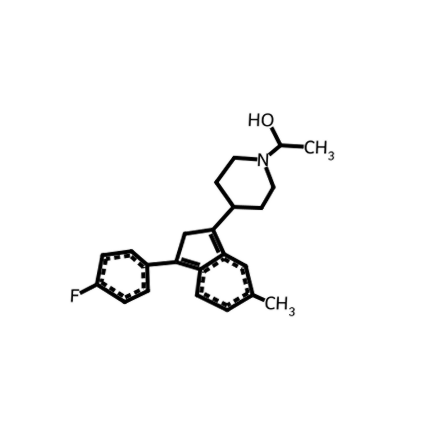 Cc1ccc2c(c1)=C(C1CCN(C(C)O)CC1)CC=2c1ccc(F)cc1